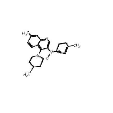 CC1=CC=C([S+]([O-])c2cnc3cc(C)ccc3c2N2CCC(C)CC2)CC1